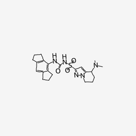 CN(C)C1CCCn2nc(S(=O)(=O)NC(=O)Nc3c4c(cc5c3CCC5)CCC4)cc21